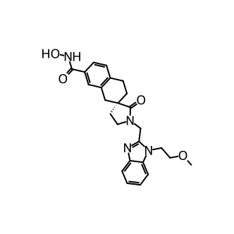 COCCn1c(CN2CC[C@]3(CCc4ccc(C(=O)NO)cc4C3)C2=O)nc2ccccc21